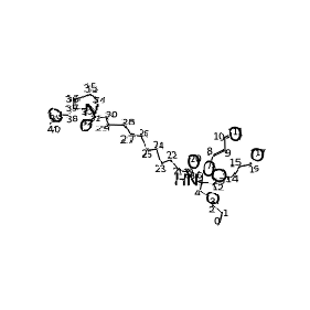 CCCOCC(COCCC=O)(COCCC=O)NC(=O)CCCCCCCCCCC(=O)N1CCC[C@H]1COC